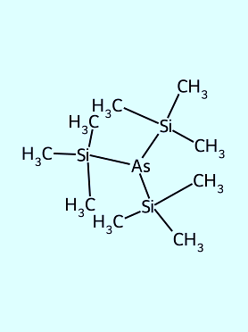 C[Si](C)(C)[As]([Si](C)(C)C)[Si](C)(C)C